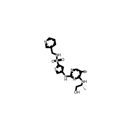 C[C@H](CO)Nc1nc(Nc2csc(S(=O)(=O)NCc3cccnc3)c2)ncc1Br